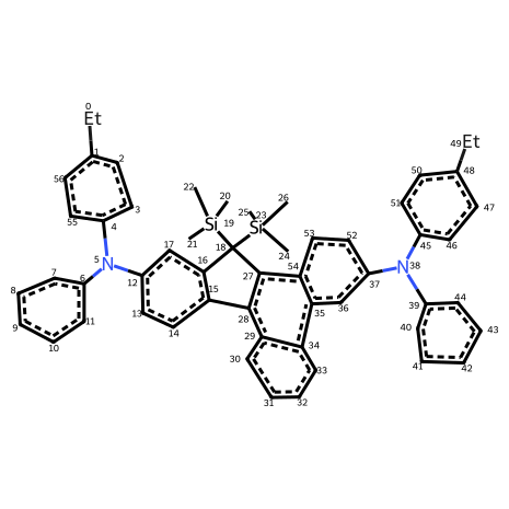 CCc1ccc(N(c2ccccc2)c2ccc3c(c2)C([Si](C)(C)C)([Si](C)(C)C)c2c-3c3ccccc3c3cc(N(c4ccccc4)c4ccc(CC)cc4)ccc23)cc1